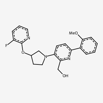 COc1ccccc1-c1ccc(N2CCC(Oc3ncccc3F)C2)c(CO)n1